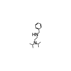 CC(C)N(CCNCc1ccccc1)C(C)C